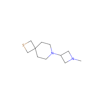 CN1CC(N2CCC3(CC2)CSC3)C1